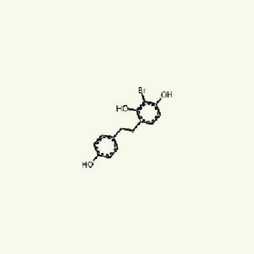 Oc1ccc(C[CH]c2ccc(O)c(Br)c2O)cc1